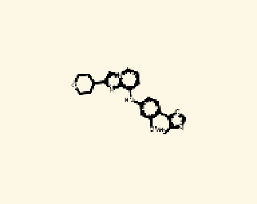 COc1cc(Nc2cccn3cc(C4CCOCC4)nc23)ccc1-c1ocnc1C